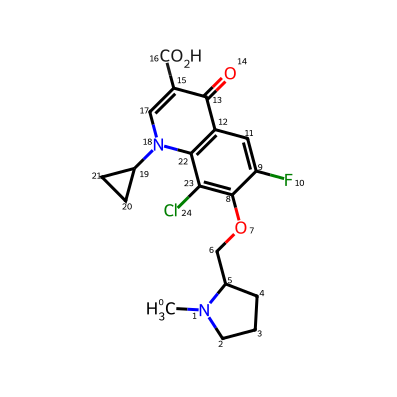 CN1CCCC1COc1c(F)cc2c(=O)c(C(=O)O)cn(C3CC3)c2c1Cl